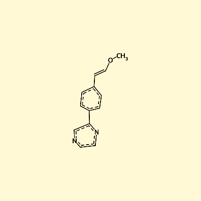 CO/C=C/c1ccc(-c2cnccn2)cc1